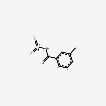 Cc1cccc(C(=O)N[SH](=O)=O)c1